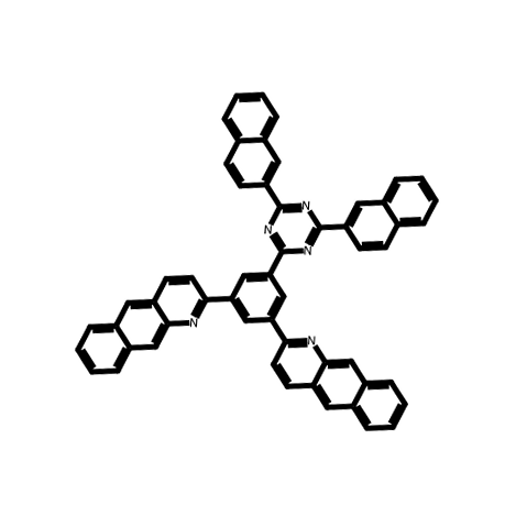 c1ccc2cc(-c3nc(-c4cc(-c5ccc6cc7ccccc7cc6n5)cc(-c5ccc6cc7ccccc7cc6n5)c4)nc(-c4ccc5ccccc5c4)n3)ccc2c1